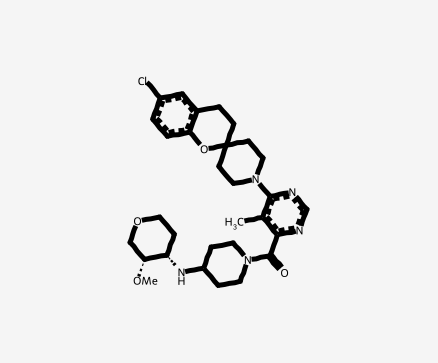 CO[C@@H]1COCC[C@@H]1NC1CCN(C(=O)c2ncnc(N3CCC4(CCc5cc(Cl)ccc5O4)CC3)c2C)CC1